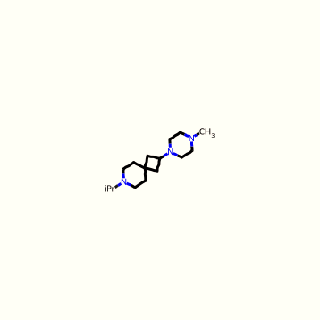 CC(C)N1CCC2(CC1)CC(N1CCN(C)CC1)C2